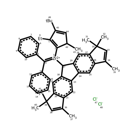 CCC1=[C]([Zr+2](=[C](c2ccccc2)c2ccccc2)[CH]2c3cc4c(cc3-c3cc5c(cc32)C(C)(C)C=C5C)C(C)=CC4(C)C)C(C)C=C1C(C)(C)C.[Cl-].[Cl-]